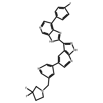 Fc1ccc(-c2cncc3[nH]c(-c4n[nH]c5ncc(-c6cncc(CN7CCC(F)(F)C7)c6)cc45)nc23)cc1